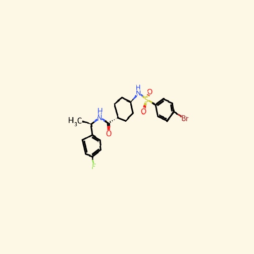 C[C@@H](NC(=O)[C@H]1CC[C@H](NS(=O)(=O)c2ccc(Br)cc2)CC1)c1ccc(F)cc1